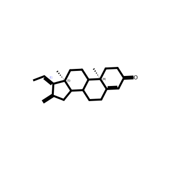 C=C1CC2C3CCC4=CC(=O)CC[C@]4(C)C3CC[C@]2(C)/C1=C/C